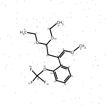 CCOC(C/C(=C/OC)c1ccccc1OC(F)(F)F)OCC